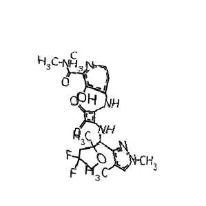 Cc1cn(C)nc1[C@H](Nc1c(Nc2ccnc(C(=O)N(C)C)c2O)c(=O)c1=O)C1(C)CC(F)(F)CO1